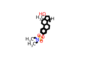 CCN(CC)S(=O)(=O)Oc1ccc2c(c1)CCC1C2CC[C@]2(C)[C@@H](O)C[C@@H]3C[C@@]132